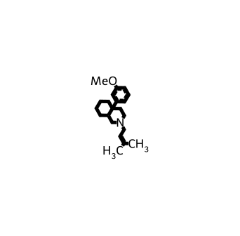 COc1cccc(C23CCCCC2CN(CC=C(C)C)CC3)c1